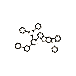 c1ccc(-c2cccc(-c3cnc(-c4cccc5c4Cc4cc6c(cc4-5)c4ccccc4n6-c4ccccc4)c(-c4nc(-c5ccccc5)nc(-c5ccccc5)n4)c3)c2)cc1